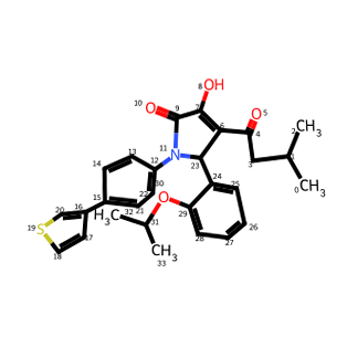 CC(C)CC(=O)C1=C(O)C(=O)N(c2ccc(-c3ccsc3)cc2)C1c1ccccc1OC(C)C